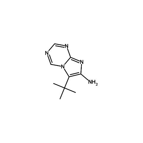 CC(C)(C)c1c(N)nc2ncncn12